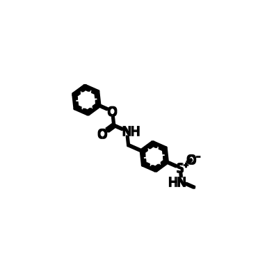 CN[S+]([O-])c1ccc(CNC(=O)Oc2ccccc2)cc1